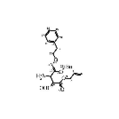 C=CCOC(=O)C(C=O)C(N)C(=NOCCc1ccccc1)OC(C)(C)C